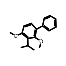 COc1ccc(-c2ccccc2)c(OC)c1C(C)C